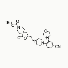 CC(C)(C)OC(=O)N1CCC2(CC1)CC(CCN1CCN(c3ccc(C#N)cc3N3CCOCC3)CC1)OC2=O